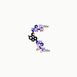 COC(=O)N[C@H](C(=O)N1CCC[C@@H]1c1ncc(-c2ccc(-c3ccc(-c4cnc([C@@H]5CCCN5C(=O)[C@@H](NC(=O)OC)C(C)C)[nH]4)s3)c3c2CCC32CCC(C)CC2)[nH]1)C(C)C